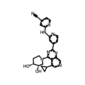 N#Cc1ccnc(Nc2cc(-c3nc(N4CC[C@H](O)[C@H](O)C4)c4c(C5CC5)cncc4n3)ccn2)c1